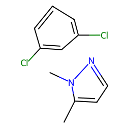 Cc1ccnn1C.Clc1cccc(Cl)c1